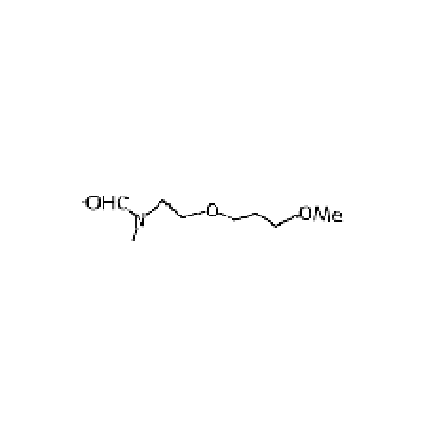 COCCCOCCN(C)[C]=O